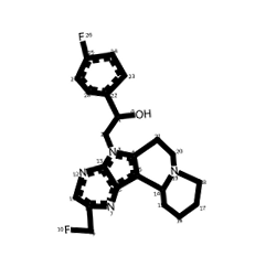 OC(Cn1c2c(c3nc(CF)cnc31)C1CCCCN1CC2)c1ccc(F)cc1